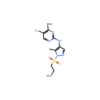 CNc1nc(Nc2cnn(S(=O)(=O)CCOC)c2C)ncc1C(F)(F)F